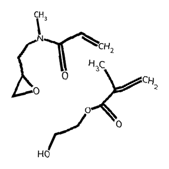 C=C(C)C(=O)OCCO.C=CC(=O)N(C)CC1CO1